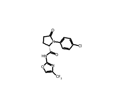 O=C(Nc1nc(C(F)(F)F)co1)[C@@H]1CCC(=O)N1c1ccc(Cl)cc1